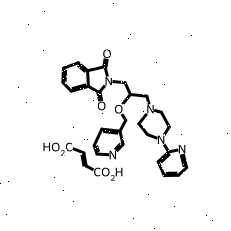 O=C(O)C=CC(=O)O.O=C1c2ccccc2C(=O)N1CC(CN1CCN(c2ccccn2)CC1)OCc1cccnc1